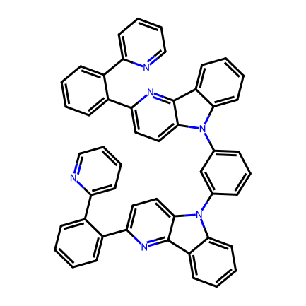 c1ccc(-c2ccccc2-c2ccc3c(n2)c2ccccc2n3-c2cccc(-n3c4ccccc4c4nc(-c5ccccc5-c5ccccn5)ccc43)c2)nc1